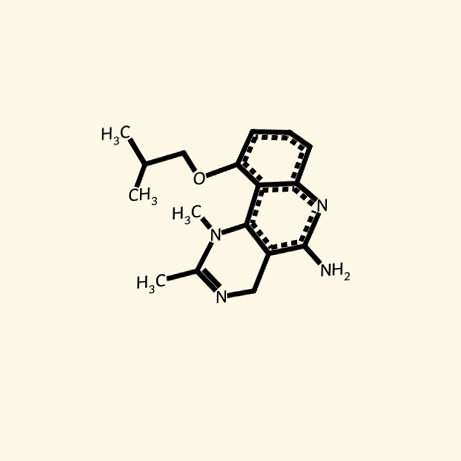 CC1=NCc2c(N)nc3cccc(OCC(C)C)c3c2N1C